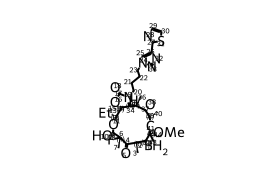 B[C@@H]1[C@@H](C)C(=O)[C@](C)(F)C(O)O[C@H](CC)[C@@]2(C)OC(=O)N(CCCCn3cc(-c4nccs4)nn3)[C@@H]2[C@@H](C)C(=O)[C@H](C)C[C@@]1(C)OC